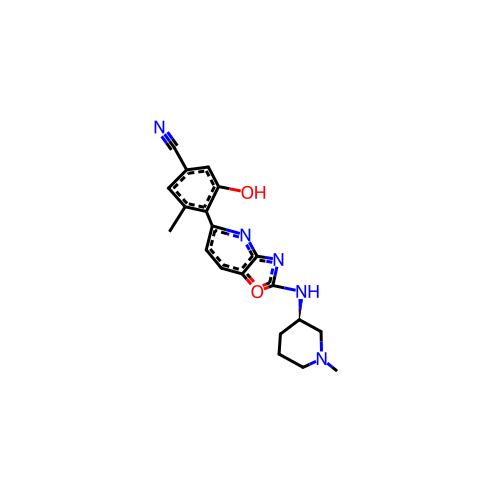 Cc1cc(C#N)cc(O)c1-c1ccc2oc(N[C@@H]3CCCN(C)C3)nc2n1